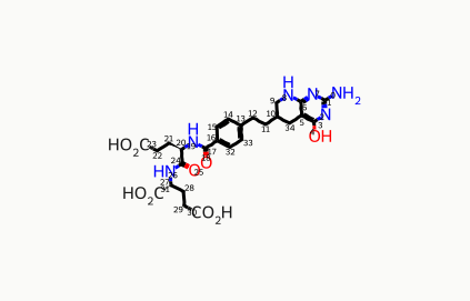 Nc1nc(O)c2c(n1)NCC(CCc1ccc(C(=O)N[C@H](CCC(=O)O)C(=O)N[C@H](CCC(=O)O)C(=O)O)cc1)C2